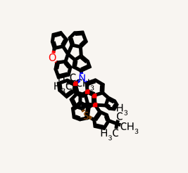 CC(C)(C)c1ccc2c(c1)C1(c3cc(C(C)(C)C)ccc3S2)c2ccccc2-c2ccc(N(c3ccc4c(c3)C3(c5ccccc5Oc5ccccc53)c3ccccc3-4)c3ccccc3-c3cccc4ccccc34)cc21